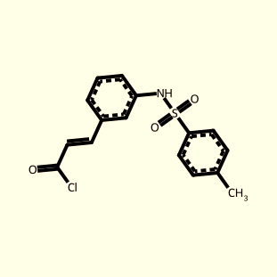 Cc1ccc(S(=O)(=O)Nc2cccc(C=CC(=O)Cl)c2)cc1